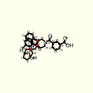 Cc1cccc(C2(CCN3[C@@H]4CC[C@H]3C[C@@H](n3c(C)nc5ccccc53)C4)CCN(C(=O)c3cccc(C(=O)O)c3)CC2)c1